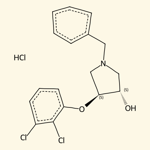 Cl.O[C@H]1CN(Cc2ccccc2)C[C@@H]1Oc1cccc(Cl)c1Cl